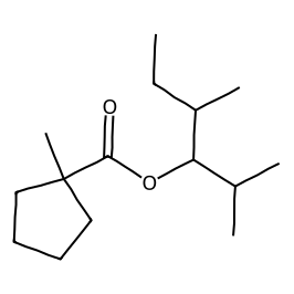 CCC(C)C(OC(=O)C1(C)CCCC1)C(C)C